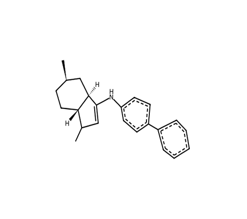 CC1C=C(Nc2ccc(-c3ccccc3)cc2)[C@@H]2C[C@H](C)CC[C@@H]12